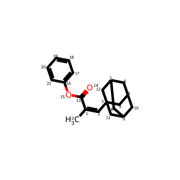 CC(=CC12CC3CC(CC(C3)C1)C2)C(=O)Oc1ccccc1